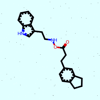 O=C(CCc1ccc2c(c1)CCC2)ONCCc1c[nH]c2ccccc12